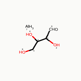 O=CC(O)C(O)CO.[AlH3]